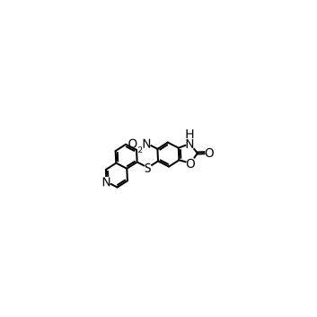 O=c1[nH]c2cc([N+](=O)[O-])c(Sc3cccc4cnccc34)cc2o1